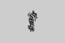 COc1cc([C@@H](C)C(=O)N2CC[C@@]3(CCc4cc(-c5nccc(C(F)(F)F)n5)c(C)nc4N3)C2)c(F)cn1